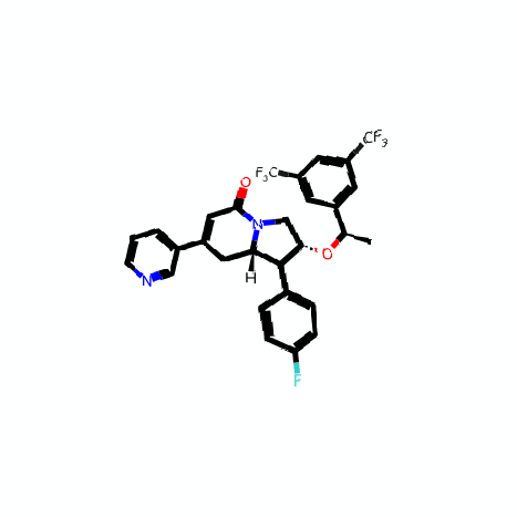 C[C@@H](O[C@H]1CN2C(=O)C=C(c3cccnc3)C[C@H]2C1c1ccc(F)cc1)c1cc(C(F)(F)F)cc(C(F)(F)F)c1